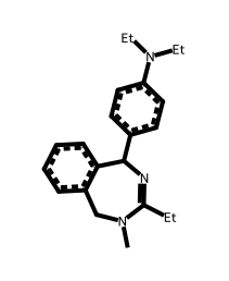 CCC1=NC(c2ccc(N(CC)CC)cc2)c2ccccc2CN1C